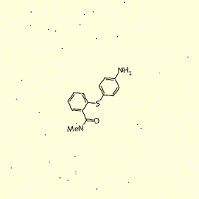 CNC(=O)c1ccccc1Sc1ccc(N)cc1